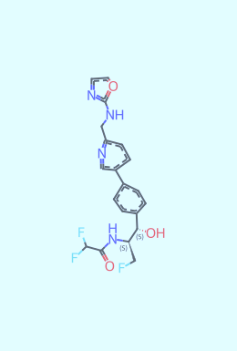 O=C(N[C@H](CF)[C@@H](O)c1ccc(-c2ccc(CNc3ncco3)nc2)cc1)C(F)F